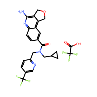 Nc1nc2ccc(C(=O)N(Cc3ccc(C(F)(F)F)cn3)CC3CC3)cc2c2c1COC2.O=C(O)C(F)(F)F